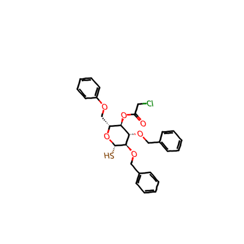 O=C(CCl)O[C@H]1[C@H](OCc2ccccc2)[C@@H](OCc2ccccc2)[C@H](S)O[C@@H]1COc1ccccc1